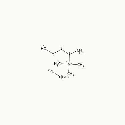 CC(CCO)[N+](C)(C)C.CCCC[O-]